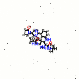 [2H]C([2H])([2H])NC(=O)c1nnc(NC(=O)C2CC2)cc1Nc1cccc(-c2ncc(N3CCCC3=O)cn2)c1OC